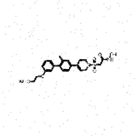 COCCOc1cccc(-c2ccc(C3=CCN(S(=O)(=O)CC(=O)NO)CC3)cc2C)c1